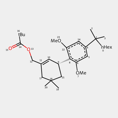 CCCCCCC(C)(C)c1cc(OC)c([C@H]2C=C(COC(=O)C(C)(C)C)CC(C)(C)C2)c(OC)c1